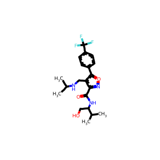 CC(C)NCc1c(C(=O)NC(CO)C(C)C)noc1-c1ccc(C(F)(F)F)cc1